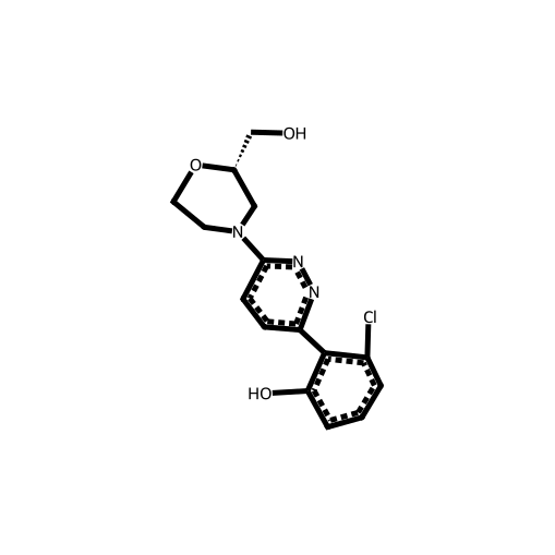 OC[C@@H]1CN(c2ccc(-c3c(O)cccc3Cl)nn2)CCO1